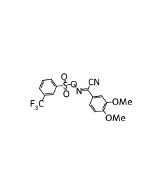 COc1ccc(/C(C#N)=N/OS(=O)(=O)c2cccc(C(F)(F)F)c2)cc1OC